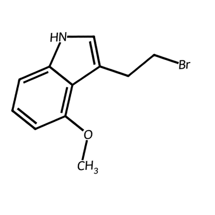 COc1cccc2[nH]cc(CCBr)c12